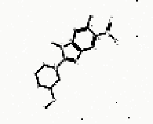 COC1CCCN(c2nc3cc([N+](=O)[O-])c(C)cc3n2C)C1